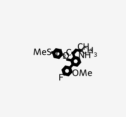 COc1cc(F)ccc1-c1ccc2c(c1COc1ccc(SC)cc1)C(C)=CC(C)(C)N2